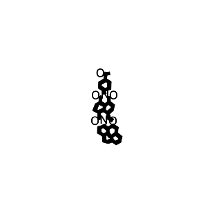 CC(=O)c1ccc(N2C(=O)c3ccc4c5c(ccc(c35)C2=O)C(=O)N(c2ccc3ccc5cccc6ccc2c3c56)C4=O)cc1